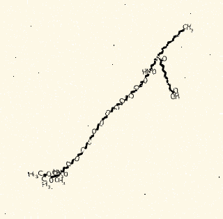 CCCCCCCCCCCN(CCCC(=O)NCCOCCOCCOCCOCCOCCOCCOCCOCCOCCOCCOCCOCCC(=O)NCC(C)(C)C(=O)OC(C)C)C(=O)CCCCCCCCCC(=O)O